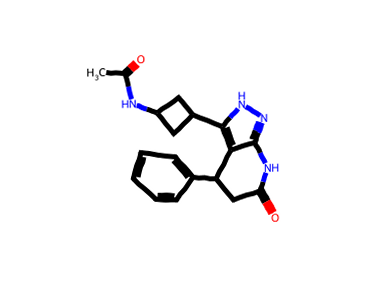 CC(=O)NC1CC(c2[nH]nc3c2C(c2ccccc2)CC(=O)N3)C1